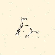 C#C[SiH](OC)OC(C(C)=O)C(C)=O